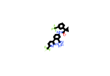 O=C(Nc1ccc(-c2ccc(C(F)(F)F)nc2)c(-c2nnn[nH]2)c1)C1(c2cccc(C(F)(F)F)c2)CC1